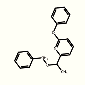 CC(O[SiH2]c1ccccc1)c1cccc(Oc2ccccc2)n1